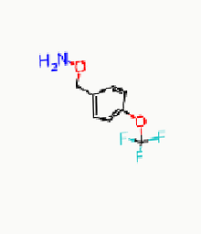 NOCc1ccc(OC(F)(F)F)cc1